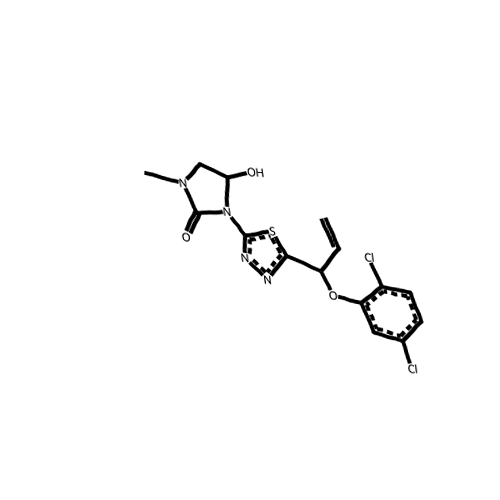 C=CC(Oc1cc(Cl)ccc1Cl)c1nnc(N2C(=O)N(C)CC2O)s1